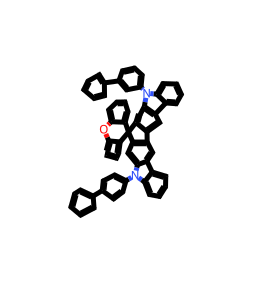 c1ccc(-c2ccc(-n3c4ccccc4c4cc5c(cc43)C3(c4ccccc4Oc4ccccc43)c3cc4c(cc3-5)c3ccccc3n4-c3cccc(-c4ccccc4)c3)cc2)cc1